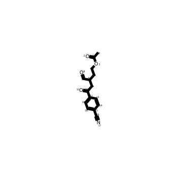 CC(=O)OCCC(C=O)CC(=O)c1ccc(C#N)cc1